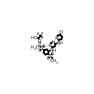 CCS(=O)(=O)c1ccc(S(=O)(=O)NC)cc1Nc1cc(Nc2ccc(Cl)cn2)ncn1.O=C(O)C(F)(F)F